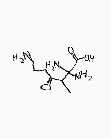 CC(C(=O)CCN)C(N)(N)C(=O)O